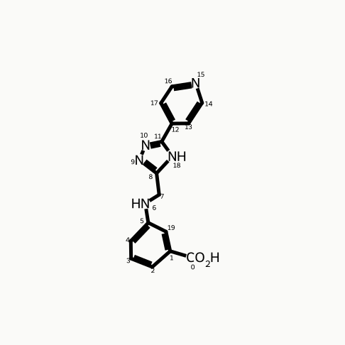 O=C(O)c1cccc(NCc2nnc(-c3ccncc3)[nH]2)c1